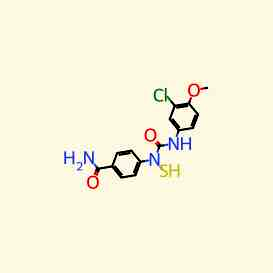 COc1ccc(NC(=O)N(S)c2ccc(C(N)=O)cc2)cc1Cl